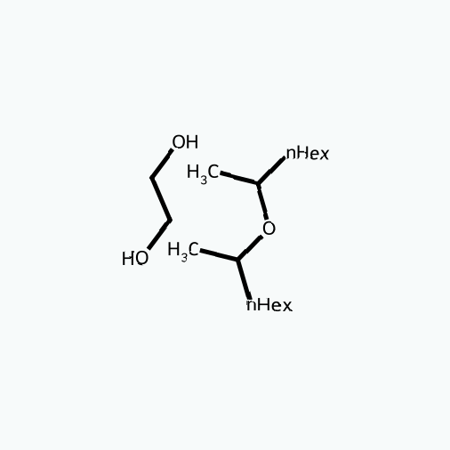 CCCCCCC(C)OC(C)CCCCCC.OCCO